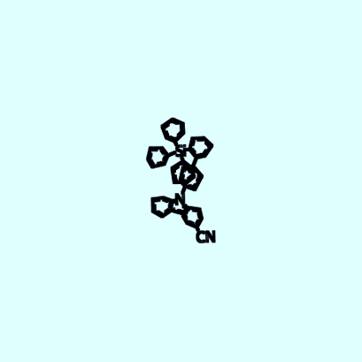 N#Cc1ccc2c(c1)c1ccccc1n2-c1ccc(-c2ccccc2[Si](c2ccccc2)(c2ccccc2)c2ccccc2)cc1